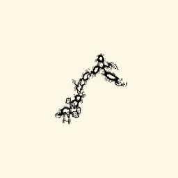 CC1CN(c2cc3c(cc2F)C(=O)N(C2CCC(=O)NC2=O)C3=O)CC(C)N1CC1CCN(c2ccc(C(=C(CCCl)c3ccccc3)c3ccc(O)cc3)cc2)CC1